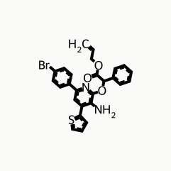 C=CCOC(=O)C(Oc1nc(-c2ccc(Br)cc2)cc(-c2cccs2)c1N)c1ccccc1